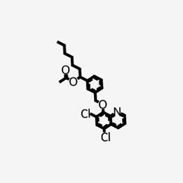 CCCCCCC(OC(C)=O)c1cccc(COc2c(Cl)cc(Cl)c3cccnc23)c1